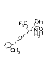 Cc1ccccc1CCCO/C=C/C=C(\C=C\C(F)(F)F)CCC(N)(CO)CO